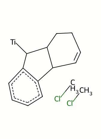 CCl.CCl.[Ti][CH]1c2ccccc2C2C=CCCC12